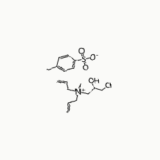 C=CC[N+](C)(CC=C)CC(O)CCl.Cc1ccc(S(=O)(=O)[O-])cc1